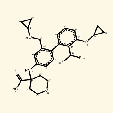 O=C(O)C1(Nc2ccc(-c3cccc(OC4CC4)c3C(F)F)c(COC3CC3)c2)CCOCC1